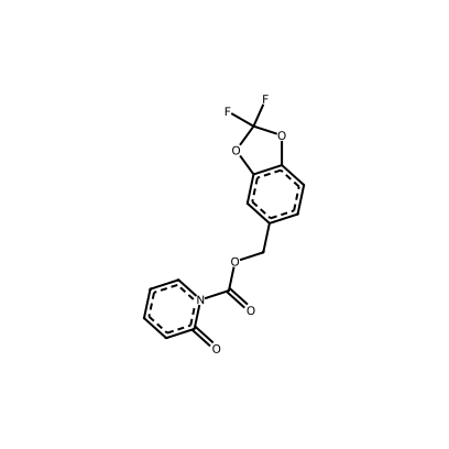 O=C(OCc1ccc2c(c1)OC(F)(F)O2)n1ccccc1=O